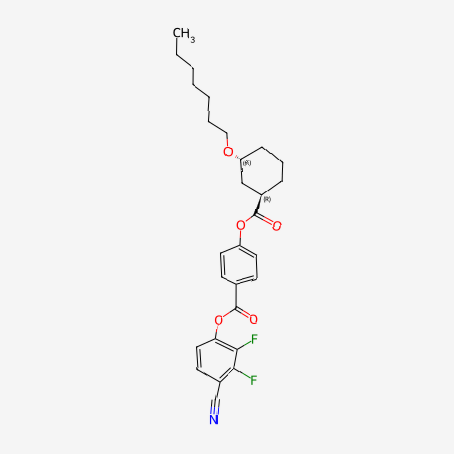 CCCCCCCO[C@@H]1CCC[C@@H](C(=O)Oc2ccc(C(=O)Oc3ccc(C#N)c(F)c3F)cc2)C1